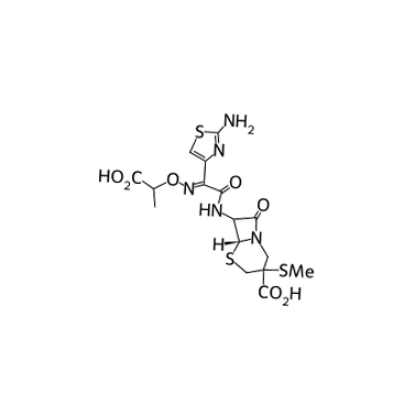 CSC1(C(=O)O)CS[C@@H]2C(NC(=O)C(=NOC(C)C(=O)O)c3csc(N)n3)C(=O)N2C1